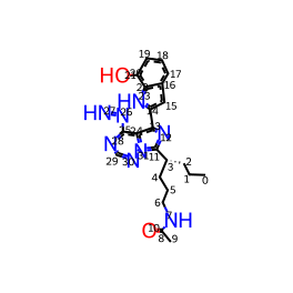 CCC[C@H](CCCNC(C)=O)c1nc(-c2cc3cccc(O)c3[nH]2)c2c(N=N)ncnn12